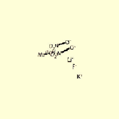 O=[N+]([O-])[O-].O=[N+]([O-])[O-].[BeH2].[F-].[K+].[Li+].[Na+]